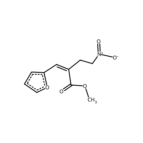 COC(=O)C(=Cc1ccco1)CC[N+](=O)[O-]